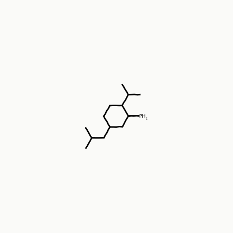 CC(C)CC1CCC(C(C)C)C(P)C1